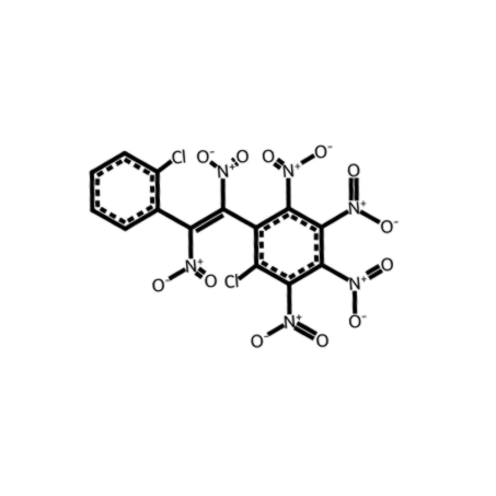 O=[N+]([O-])C(=C(c1c(Cl)c([N+](=O)[O-])c([N+](=O)[O-])c([N+](=O)[O-])c1[N+](=O)[O-])[N+](=O)[O-])c1ccccc1Cl